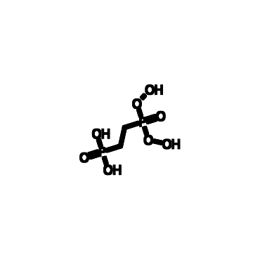 O=P(O)(O)CCP(=O)(OO)OO